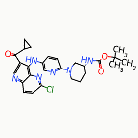 CC(C)(C)OC(=O)N[C@@H]1CCCN(c2ccc(Nc3c(C(=O)C4CC4)cnc4ccc(Cl)nc34)cn2)C1